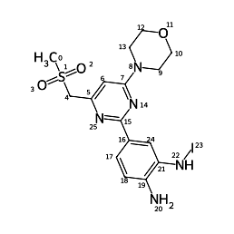 CS(=O)(=O)Cc1cc(N2CCOCC2)nc(-c2ccc(N)c(NI)c2)n1